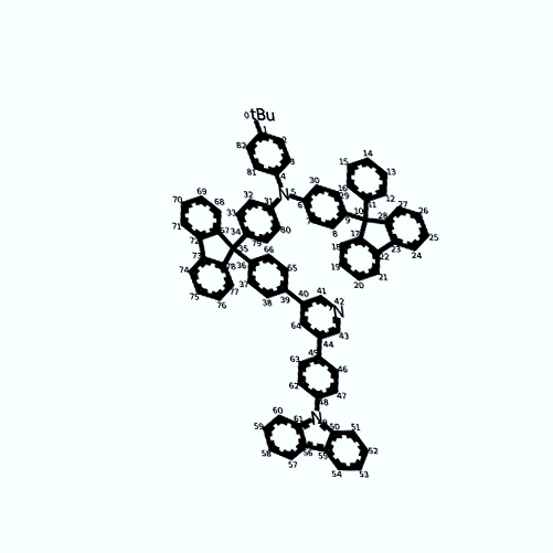 CC(C)(C)c1ccc(N(c2ccc(C3(c4ccccc4)c4ccccc4-c4ccccc43)cc2)c2ccc(C3(c4ccc(-c5cncc(-c6ccc(-n7c8ccccc8c8ccccc87)cc6)c5)cc4)c4ccccc4-c4ccccc43)cc2)cc1